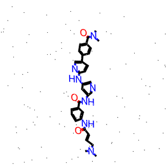 CN(C)CC=CC(=O)Nc1cccc(C(=O)Nc2cncc(Nc3ccc(-c4ccc(C(=O)N(C)C)cc4)cn3)c2)c1